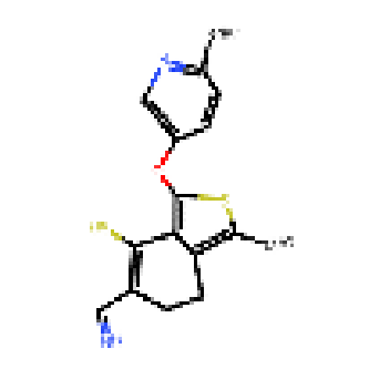 CNc1ccc(Oc2sc(C=O)c3c2C(S)=C(C=N)CC3)cn1